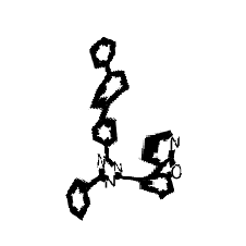 c1ccc(-c2ccc(-c3ccc(-c4nc(-c5ccccc5)nc(-c5cccc6oc7ncccc7c56)n4)cc3)cc2)cc1